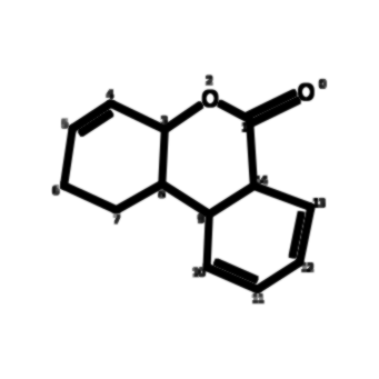 O=C1OC2C=CCCC2C2C=CC=CC12